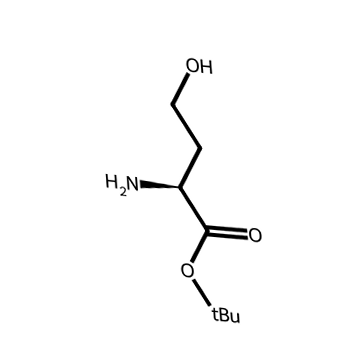 CC(C)(C)OC(=O)[C@@H](N)CCO